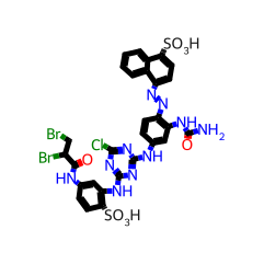 NC(=O)Nc1cc(Nc2nc(Cl)nc(Nc3cc(NC(=O)C(Br)CBr)ccc3S(=O)(=O)O)n2)ccc1N=Nc1ccc(S(=O)(=O)O)c2ccccc12